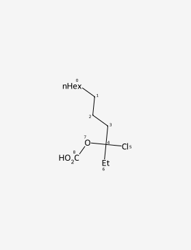 CCCCCCCCCC(Cl)(CC)OC(=O)O